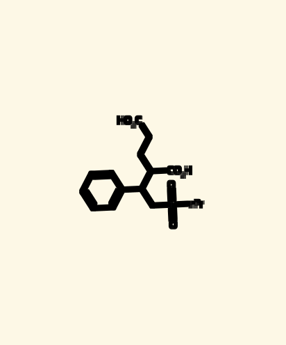 CCCS(=O)(=O)CC(c1ccccc1)C(CCC(=O)O)C(=O)O